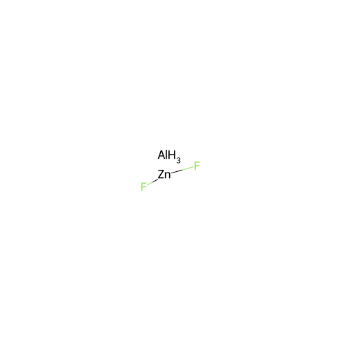 [AlH3].[F][Zn][F]